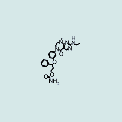 CCNc1ncc2c(n1)N(C)CCN(c1cccc(OC(CCOC(N)=O)c3ccccc3)c1)C2=O